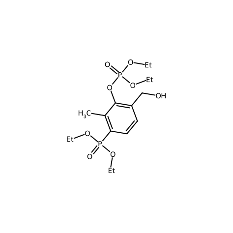 CCOP(=O)(OCC)Oc1c(CO)ccc(P(=O)(OCC)OCC)c1C